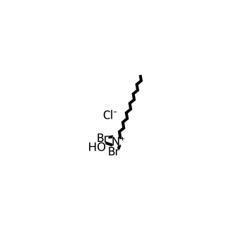 CCCCCCCCCCCCCC[N+](CBr)(CBr)CCO.[Cl-]